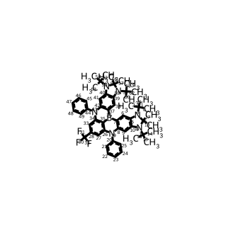 CC(C)(C)N1c2cc3c(cc2N(C(C)(C)C)C1(C)C)N(c1ccccc1)c1cc(C(F)(F)F)cc2c1B3c1cc3c(cc1N2c1ccccc1)N(C(C)(C)C)C(C)(C)N3C(C)(C)C